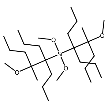 CCCC(C)(OC)C(CCC)(CCC)[Si](OC)(OC)C(CCC)(CCC)C(C)(CCC)OC